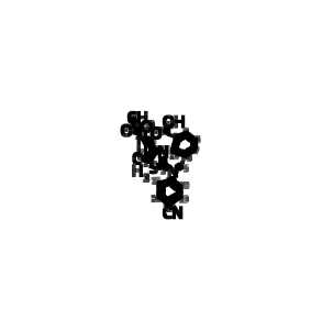 Cc1sc(N(C[C@H]2CCC[C@@H](CO)C2)c2ccc(C#N)cc2)nc1C(=O)NS(C)(=O)=O